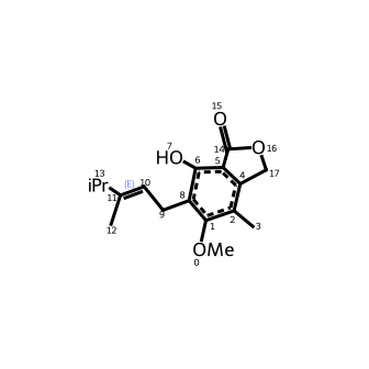 COc1c(C)c2c(c(O)c1C/C=C(\C)C(C)C)C(=O)OC2